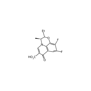 CCC1Oc2c(F)c(F)cc3c(=O)c(C(=O)O)cn(c23)[C@H]1C